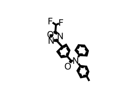 Cc1ccc(N(C(=O)c2ccc(-c3noc(C(F)F)n3)cc2)c2ccccc2)cc1